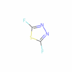 Fc1nnc(F)s1